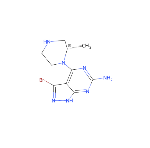 C[C@H]1CNCCN1c1nc(N)nc2[nH]nc(Br)c12